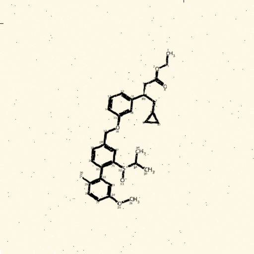 CCOC(=O)C[C@@H](CC1CC1)c1cccc(OCc2ccc(-c3cc(OC)ccc3F)c([S+]([O-])C(C)C)c2)c1